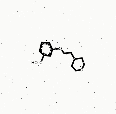 O=C(O)c1cccc(OCCC2CCOCC2)c1